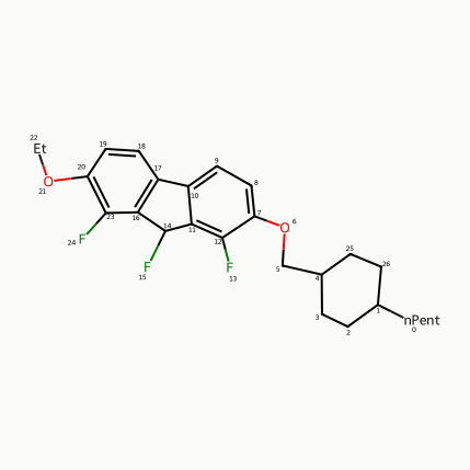 CCCCCC1CCC(COc2ccc3c(c2F)C(F)c2c-3ccc(OCC)c2F)CC1